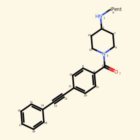 CCCC(C)NC1CCN(C(=O)c2ccc(C#Cc3ccccc3)cc2)CC1